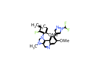 C=C/C(F)=C(\C(=C/C)OC)N1CN(C)c2cnc3cc(OC)c(-c4cnn(C(F)F)c4)cc3c21